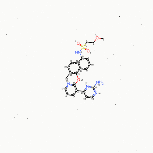 COCCS(=O)(=O)Nc1cccc2c(Oc3ncccc3-c3ccnc(N)n3)c(C)ccc12